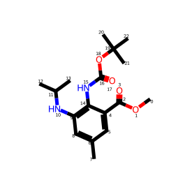 COC(=O)c1cc(C)cc(NC(C)C)c1NC(=O)OC(C)(C)C